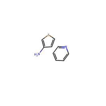 Nc1ccsc1.c1ccncc1